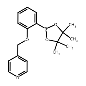 CC1(C)OB(c2ccccc2OCc2ccncc2)OC1(C)C